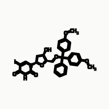 COc1ccc(C(OC[C@H]2O[C@@H](n3cc(I)c(=O)[nH]c3=O)C[C@H]2O)(c2ccccc2)c2ccc(OC)cc2)cc1